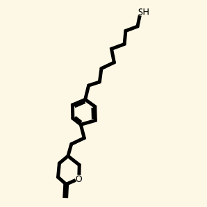 C=C1CCC(CCc2ccc(CCCCCCCCS)cc2)CO1